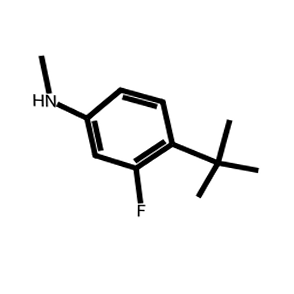 CNc1ccc(C(C)(C)C)c(F)c1